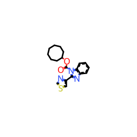 O=C(OC1CCCCCCC1)n1c(-c2cscn2)nc2ccccc21